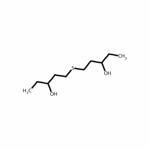 CCC(O)CCSCCC(O)CC